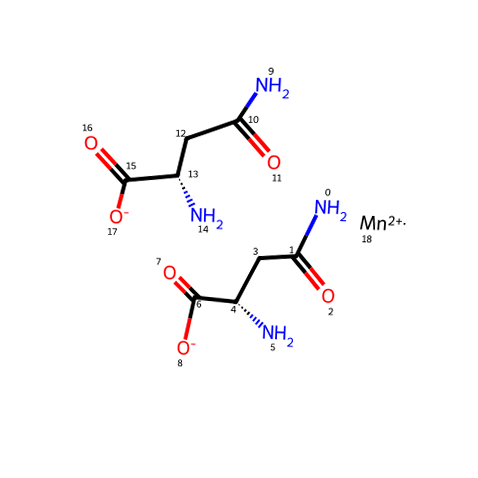 NC(=O)C[C@H](N)C(=O)[O-].NC(=O)C[C@H](N)C(=O)[O-].[Mn+2]